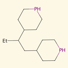 CCC(CC1CCPCC1)C1CCPCC1